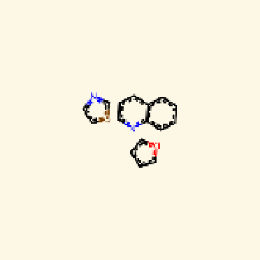 c1ccc2ncccc2c1.c1ccoc1.c1cscn1